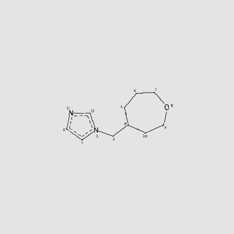 c1cn(CC2CCCOCC2)cn1